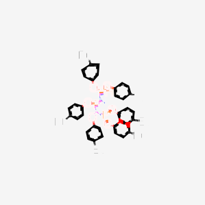 CCc1ccc(ON(P(N=[PH](Oc2ccc(CC)cc2)Oc2ccc(CC)cc2)Oc2ccc(CC)cc2)P(Oc2ccc(CC)cc2)Oc2ccc(CC)cc2)cc1